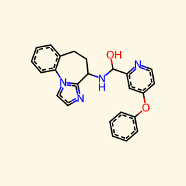 OC(NC1CCc2ccccc2-n2ccnc21)c1cc(Oc2ccccc2)ccn1